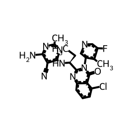 CC[C@H](Nc1nc(C)nc(N)c1C#N)c1nc2cccc(Cl)c2c(=O)n1-c1cncc(F)c1C